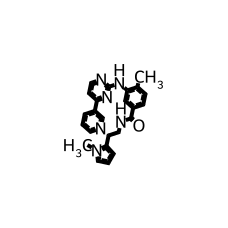 Cc1ccc(C(=O)NCCc2cccn2C)cc1Nc1nccc(-c2cccnc2)n1